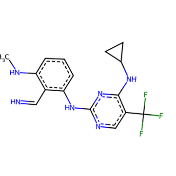 CNc1cccc(Nc2ncc(C(F)(F)F)c(NC3CC3)n2)c1C=N